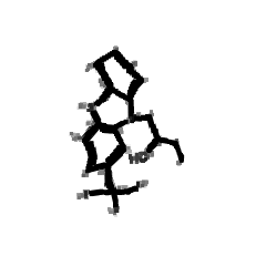 CCC(O)CN1c2ccccc2Sc2ccc(C(F)(F)F)cc21